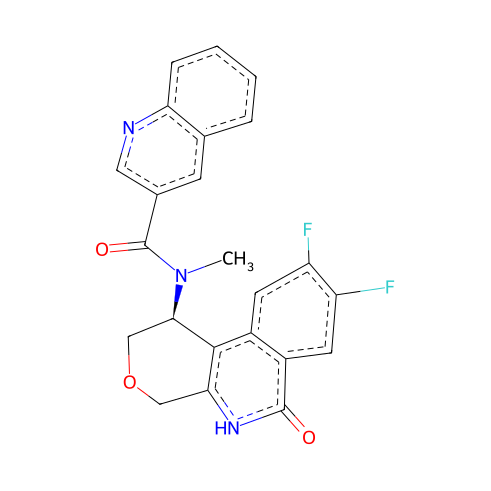 CN(C(=O)c1cnc2ccccc2c1)[C@@H]1COCc2[nH]c(=O)c3cc(F)c(F)cc3c21